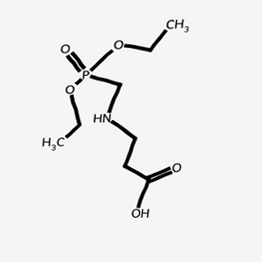 CCOP(=O)(CNCCC(=O)O)OCC